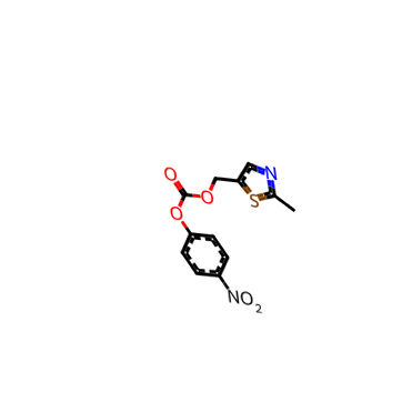 Cc1ncc(COC(=O)Oc2ccc([N+](=O)[O-])cc2)s1